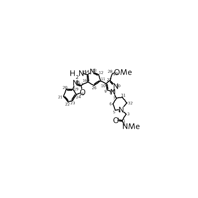 CNC(=O)CN1CCC(n2cc(-c3cnc(N)c(-c4nc5ccccc5o4)c3)c(COC)n2)CC1